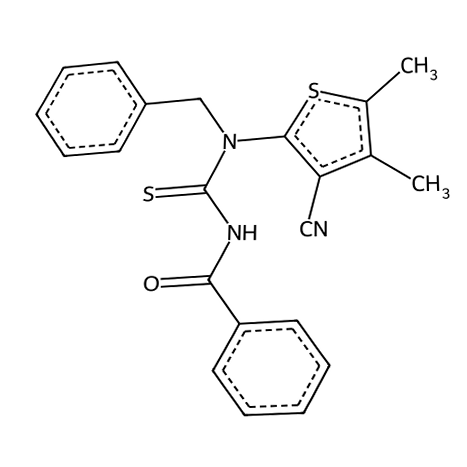 Cc1sc(N(Cc2ccccc2)C(=S)NC(=O)c2ccccc2)c(C#N)c1C